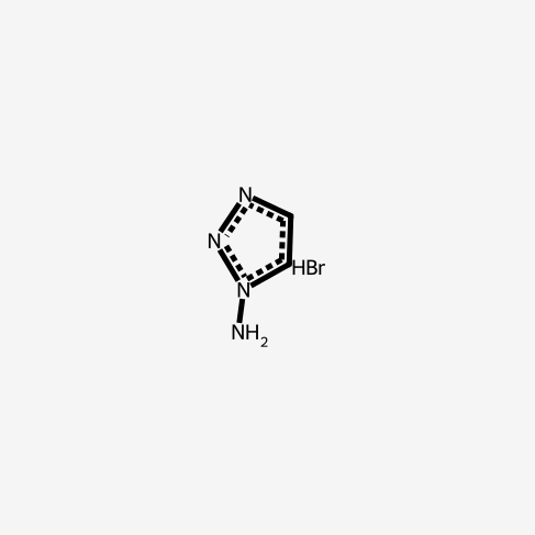 Br.Nn1ccnn1